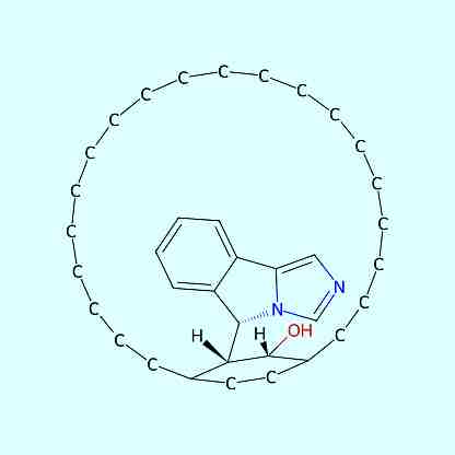 O[C@@H]1C2CCCCCCCCCCCCCCCCCCCCC(CC2)[C@@H]1[C@@H]1c2ccccc2-c2cncn21